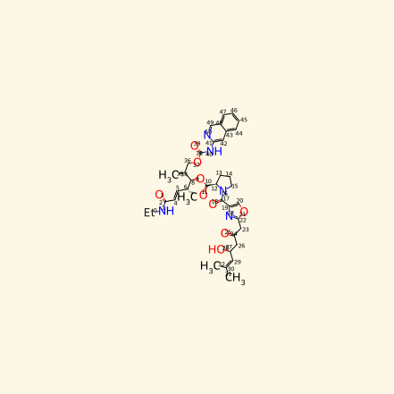 CCNC(=O)/C=C/[C@@H](C)[C@H](OC(=O)[C@H]1CCCN1C(=O)c1coc(CC(=O)C[C@H](O)C=C(C)C)n1)[C@@H](C)COC(=O)Nc1cc2ccccc2cn1